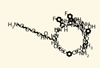 C[C@@]12CCCN1C(=O)[C@H](Cc1ccc(O)cc1)NC(=O)[C@@H](Cc1cnc[nH]1)NC(=O)[C@H](CC(=O)O)NC(=O)[C@H](Cc1c[nH]c3ccc(F)cc13)NC(=O)[C@H](Cc1c[nH]c3ccc(F)cc13)NC(=O)CNC(=O)[C@H](CCCCNC(=O)CCOCCOCCOCCOCCN)NC(=O)CCSCc1cccc(c1)CSC[C@@H](C(N)=O)NC2=O